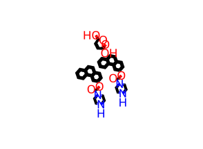 O=C(O)/C=C\C(=O)O.O=C(Oc1ccc2ccc3ccccc3c2c1)N1CCNCC1.O=C(Oc1ccc2ccc3ccccc3c2c1)N1CCNCC1